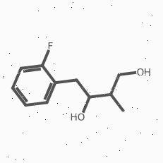 CC(CO)C(O)Cc1ccccc1F